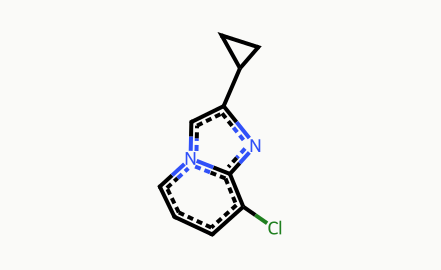 Clc1cccn2cc(C3CC3)nc12